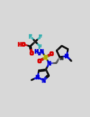 CN1CCC[C@H]1CN(c1cnn(C)c1)S(N)(=O)=O.O=C(O)C(F)(F)F